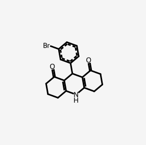 O=C1CCCC2=C1C(c1cccc(Br)c1)C1=C(CCCC1=O)N2